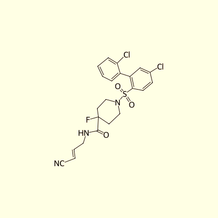 N#C/C=C/CNC(=O)C1(F)CCN(S(=O)(=O)c2ccc(Cl)cc2-c2ccccc2Cl)CC1